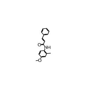 COc1ccc(NC(=O)C=Cc2ccccc2)c(C)c1